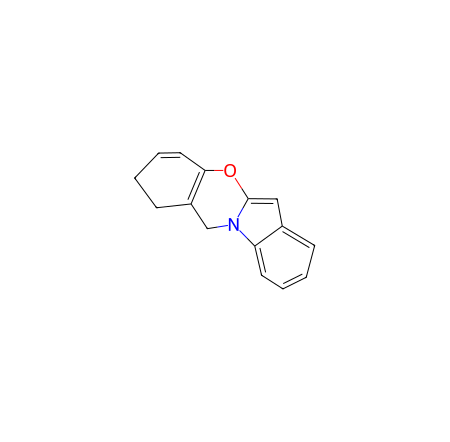 C1=CC2=C(CC1)Cn1c(cc3ccccc31)O2